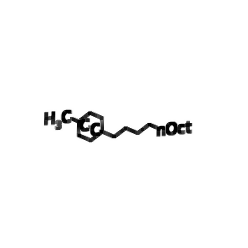 CCCCCCCCCCCCC12CCC(C)(CC1)CC2